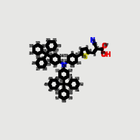 N#C/C(=C\c1ccc(-c2ccc(N(c3ccc(C(c4ccccc4)(c4ccccc4)c4ccccc4)cc3)c3ccc(C(c4ccccc4)(c4ccccc4)c4ccccc4)cc3)cc2)s1)C(=O)O